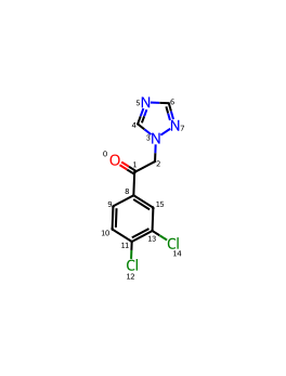 O=C(Cn1cncn1)c1ccc(Cl)c(Cl)c1